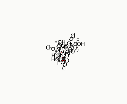 CC1=C(C(C(=O)[O-])c2c(C)n(C(=O)c3ccc(Cl)cc3)c3cc(F)c(O)c(F)c23)c2c(cc(F)c(OC(=O)C(c3c(C)n(C(=O)c4ccc(Cl)cc4)c4cc(F)c(O)c(F)c34)C3CCCC3)c2F)[N+]1(C(=O)c1ccc(Cl)cc1)C(C(N)=O)c1c(C)n(C(=O)c2ccc(Cl)cc2)c2cc(F)c(O)c(F)c12